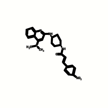 CN(C)c1cc(N[C@H]2CC[C@@H](NC(=O)/C=C/c3ccc([N+](=O)[O-])cc3)CC2)nc2ccccc12